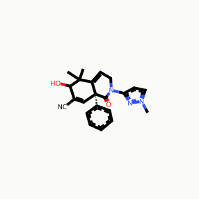 Cn1ccc(N2CC=C3C(C)(C)C(O)C(C#N)=C[C@]3(c3ccccc3)C2=O)n1